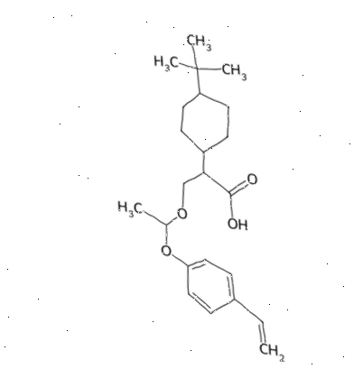 C=Cc1ccc(OC(C)OCC(C(=O)O)C2CCC(C(C)(C)C)CC2)cc1